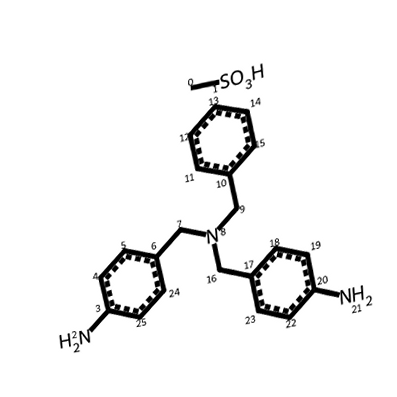 CS(=O)(=O)O.Nc1ccc(CN(Cc2ccccc2)Cc2ccc(N)cc2)cc1